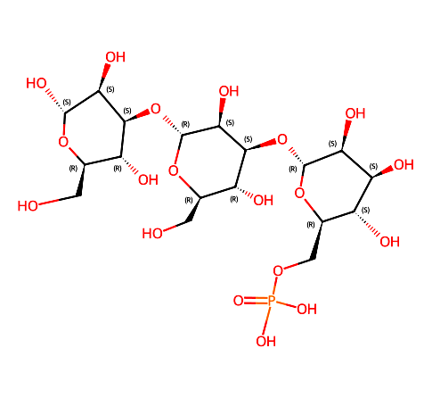 O=P(O)(O)OC[C@H]1O[C@H](O[C@@H]2[C@H](O)[C@@H](O[C@@H]3[C@H](O)[C@@H](O)O[C@H](CO)[C@H]3O)O[C@H](CO)[C@H]2O)[C@@H](O)[C@@H](O)[C@@H]1O